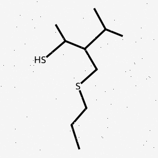 CCCSCC(C(C)C)C(C)S